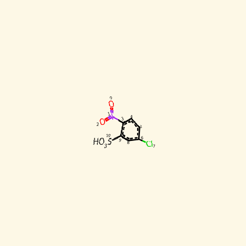 O=I(=O)c1ccc(Cl)cc1S(=O)(=O)O